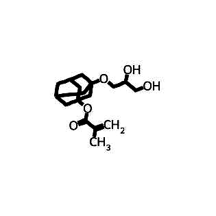 C=C(C)C(=O)OC12CC3CC(CC(OCC(O)CO)(C3)C1)C2